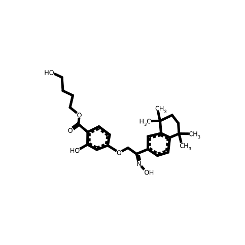 CC1(C)CCC(C)(C)c2cc(/C(COc3ccc(C(=O)OCCCCO)c(O)c3)=N\O)ccc21